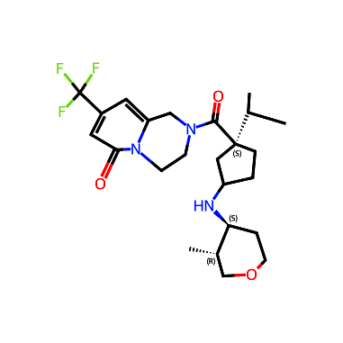 CC(C)[C@]1(C(=O)N2CCn3c(cc(C(F)(F)F)cc3=O)C2)CCC(N[C@H]2CCOC[C@@H]2C)C1